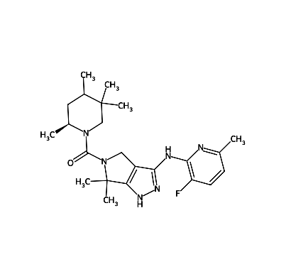 Cc1ccc(F)c(Nc2n[nH]c3c2CN(C(=O)N2CC(C)(C)C(C)C[C@@H]2C)C3(C)C)n1